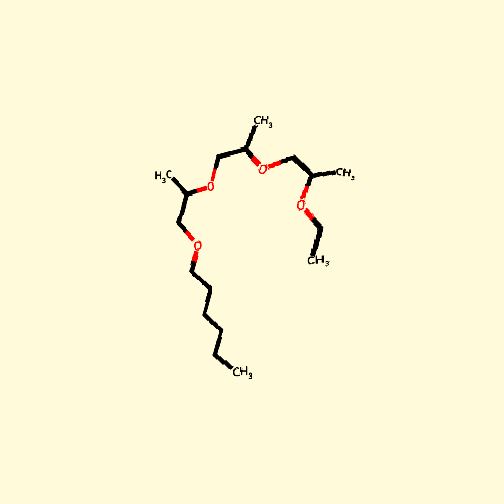 CCCCCCOCC(C)OCC(C)OCC(C)OCC